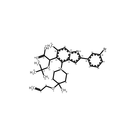 C=CCOC1(C)CCN(c2c(C(OC(C)(C)C)C(=O)O)c(C)cn3nc(-c4cccc(Br)c4)cc23)CC1